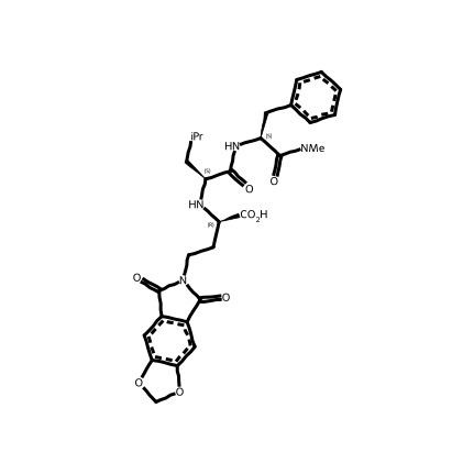 CNC(=O)[C@H](Cc1ccccc1)NC(=O)[C@H](CC(C)C)N[C@H](CCN1C(=O)c2cc3c(cc2C1=O)OCO3)C(=O)O